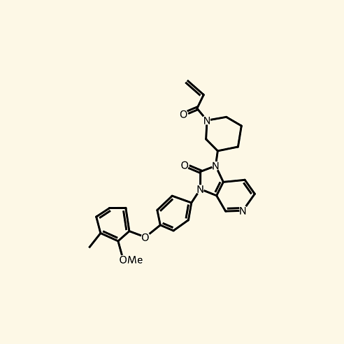 C=CC(=O)N1CCCC(n2c(=O)n(-c3ccc(Oc4cccc(C)c4OC)cc3)c3cnccc32)C1